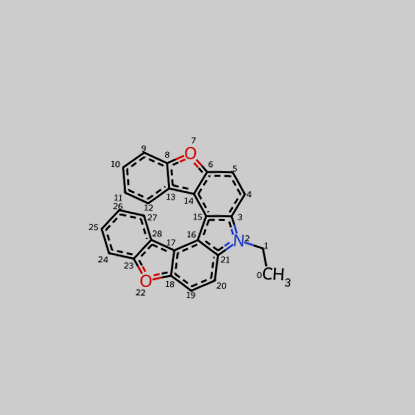 CCn1c2ccc3oc4ccccc4c3c2c2c3c(ccc21)oc1ccccc13